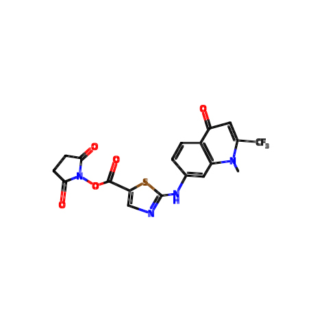 Cn1c(C(F)(F)F)cc(=O)c2ccc(Nc3ncc(C(=O)ON4C(=O)CCC4=O)s3)cc21